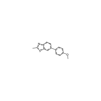 COc1ccc(-c2ccc3nc(C)sc3c2)cc1